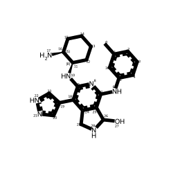 Cc1cccc(Nc2nc(N[C@@H]3CCCC[C@@H]3N)c(-c3cn[nH]c3)c3c2C(O)NC3)c1